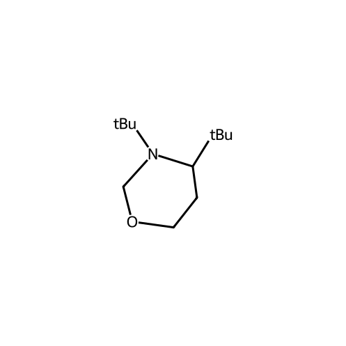 CC(C)(C)C1CCOCN1C(C)(C)C